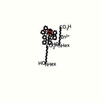 CCCCCCC(O)CCCCCCCCCCC(=O)O.CCCCCCC(O)CCCCCCCCCCC(=O)O.O=C(CC(CC(=O)[N+](C1CCCCC1)(C1CCCCC1)C1CCCCC1)C(=O)[N+](C1CCCCC1)(C1CCCCC1)C1CCCCC1)[N+](C1CCCCC1)(C1CCCCC1)C1CCCCC1.[Zn+2]